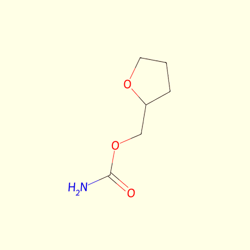 NC(=O)OCC1CCCO1